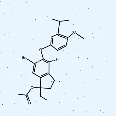 CCC1(OC(C)=O)CCc2c1cc(Br)c(Oc1ccc(OC)c(C(C)C)c1)c2Br